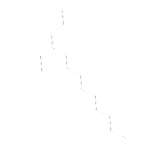 CCCN(CCC)CCCNCCCCN